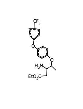 CCOC(=O)CC(N)C(C)Oc1ccc(Oc2ccc(C(F)(F)F)cc2)cc1